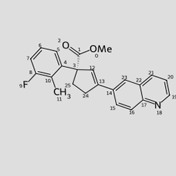 COC(=O)[C@]1(c2cccc(F)c2C)C=C(c2ccc3ncccc3c2)CC1